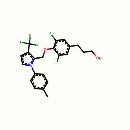 Cc1ccc(-n2ccc(C(F)(F)F)c2COc2c(F)cc(CCCO)cc2F)cc1